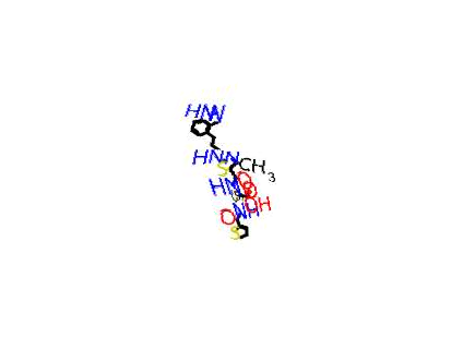 Cc1nc(NCCCc2cccc3[nH]ncc23)sc1C(=O)N[C@@H](CNC(=O)c1cccs1)C(=O)O